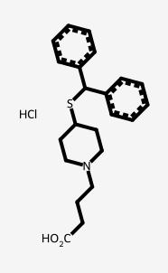 Cl.O=C(O)CCCN1CCC(SC(c2ccccc2)c2ccccc2)CC1